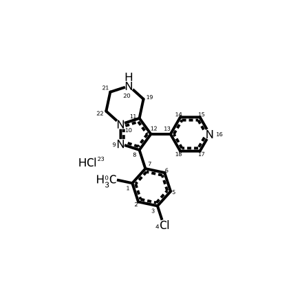 Cc1cc(Cl)ccc1-c1nn2c(c1-c1ccncc1)CNCC2.Cl